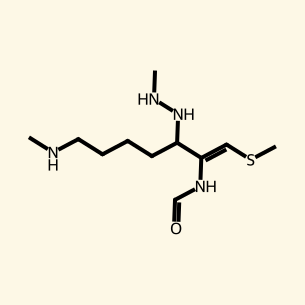 CNCCCCC(NNC)/C(=C/SC)NC=O